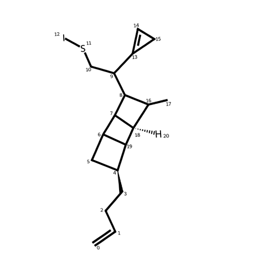 C=CCC[C@H]1CC2C3C(C(CSI)C4=CC4)C(C)[C@H]3C21